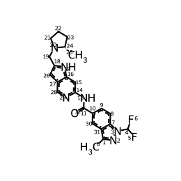 Cc1nn(C(F)F)c2ccc(C(=O)Nc3cc4[nH]c(CN5CCC[C@@H]5C)cc4cn3)cc12